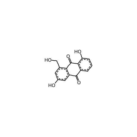 O=C1c2cccc(O)c2C(=O)c2c(CO)cc(O)cc21